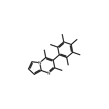 Cc1nc2cccn2c(C)c1-c1c(C)c(C)c(C)c(C)c1C